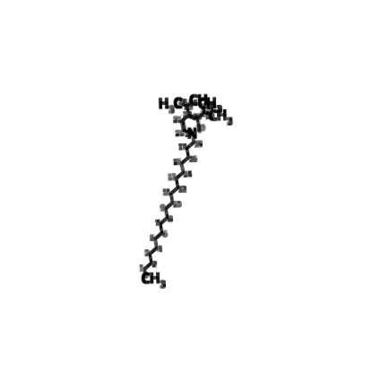 CCCCCCCCCCCCCCCCCCC[n+]1ccc(C(C)C)c(C(C)C)c1